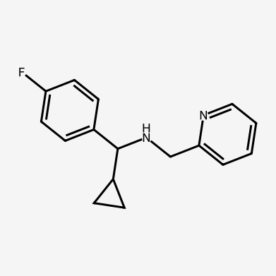 Fc1ccc(C(NCc2ccccn2)C2CC2)cc1